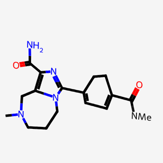 CNC(=O)C1=CC=C(c2nc(C(N)=O)c3n2CCCN(C)C3)CC1